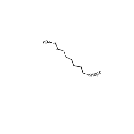 CCCCCCCCCCCCC[CH]SCCCC